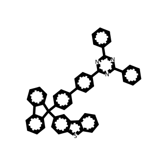 c1ccc(-c2nc(-c3ccccc3)nc(-c3ccc(-c4ccc(C5(c6ccc7sc8ccccc8c7c6)c6ccccc6-c6ccccc65)cc4)cc3)n2)cc1